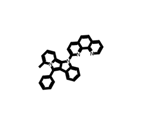 Cc1cccc2c3c(c(-c4ccccc4)n12)c1ccccc1n3-c1ccc2ccc3cccnc3c2n1